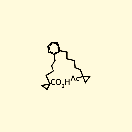 CC(=O)C1(CCCCCc2ccccc2CCCCC2(C(=O)O)CC2)CC1